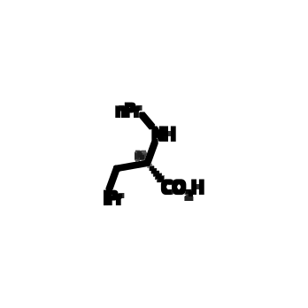 CCCN[C@@H](CC(C)C)C(=O)O